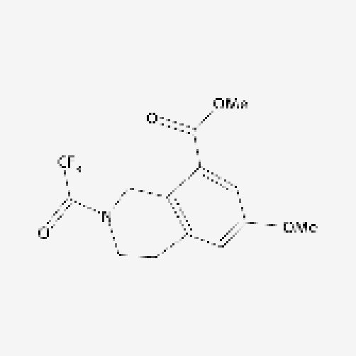 COC(=O)c1cc(OC)cc2c1CN(C(=O)C(F)(F)F)CC2